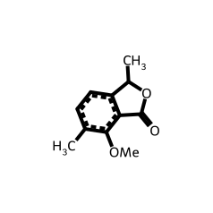 COc1c(C)ccc2c1C(=O)OC2C